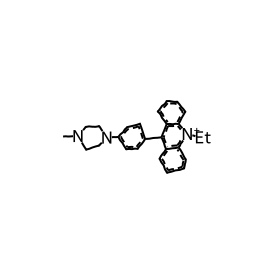 CC[n+]1c2ccccc2c(-c2ccc(N3CCN(C)CC3)cc2)c2ccccc21